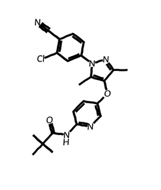 Cc1nn(-c2ccc(C#N)c(Cl)c2)c(C)c1Oc1ccc(NC(=O)C(C)(C)C)nc1